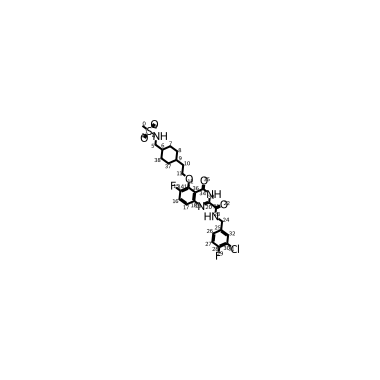 CS(=O)(=O)NCC1CCC(CCOc2c(F)ccc3nc(C(=O)NCc4ccc(F)c(Cl)c4)[nH]c(=O)c23)CC1